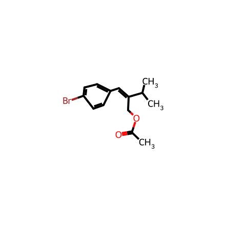 CC(=O)OCC(=Cc1ccc(Br)cc1)C(C)C